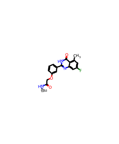 Cc1cc(F)cc2nc(-c3cccc(OCC(=O)NC(C)(C)C)c3)[nH]c(=O)c12